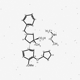 CNOC.COc1ccc([C@@H]2CN(Cc3ccccc3)C[C@@]2(C)C(=O)O)cc1OC1CCCC1